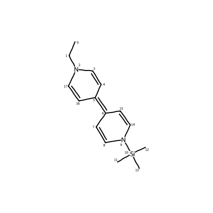 CCN1C=CC(=C2C=CN([Si](C)(C)C)C=C2)C=C1